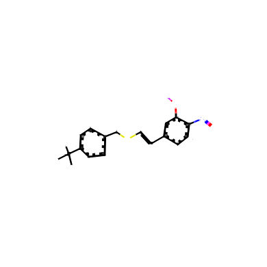 CC(C)(C)c1ccc(CS/C=C/c2ccc(N=O)c(OI)c2)cc1